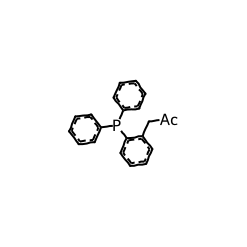 CC(=O)Cc1ccccc1P(c1ccccc1)c1ccccc1